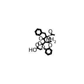 CC(=O)SC(Cc1ccccc1)C(=O)C1C(=O)N(CC(=O)O)c2ccccc2OC1(C)N